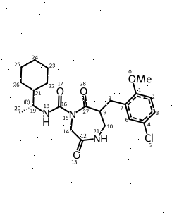 COc1ccc(Cl)cc1CC1CNC(=O)CN(C(=O)N[C@H](C)C2CCCCC2)C1=O